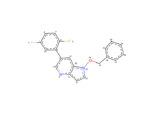 Fc1ccc(F)c(-c2cnc3ccn(OCc4ccccc4)c3c2)c1